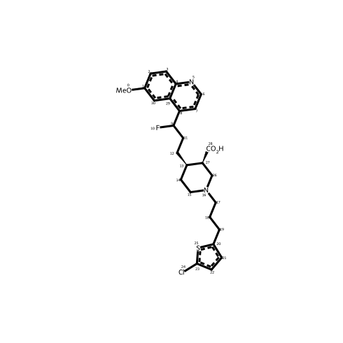 COc1ccc2nccc(C(F)CC[C@@H]3CCN(CCCc4ccc(Cl)s4)C[C@@H]3C(=O)O)c2c1